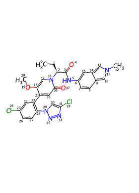 CC[C@@H](C(=O)Nc1ccc2cn(C)cc2c1)n1cc(OC)c(-c2cc(Cl)ccc2-n2cc(Cl)nn2)cc1=O